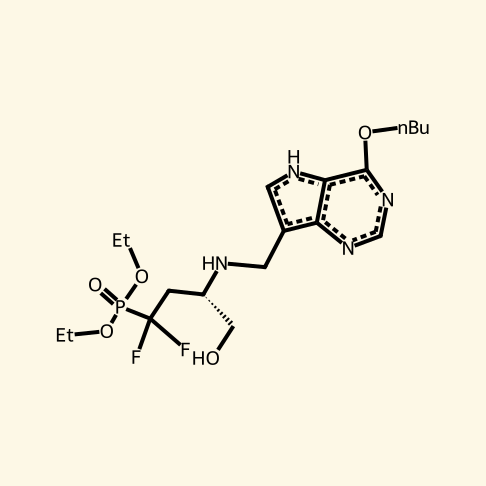 CCCCOc1ncnc2c(CN[C@H](CO)CC(F)(F)P(=O)(OCC)OCC)c[nH]c12